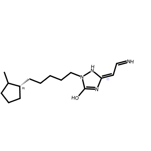 CC1CCC[C@H]1CCCCCN1N/C(=C\C=N)N=C1O